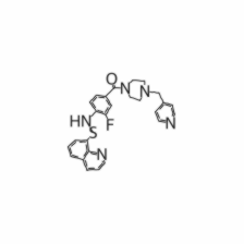 O=C(c1ccc(NSc2cccc3cccnc23)c(F)c1)N1CCN(Cc2ccncc2)CC1